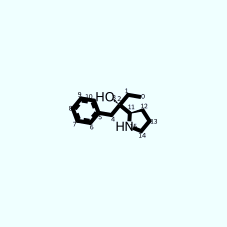 CC[C@](O)(Cc1ccccc1)[C@H]1CCCN1